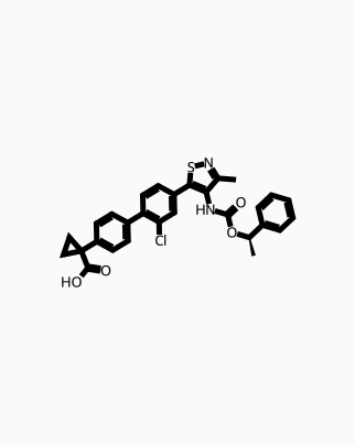 Cc1nsc(-c2ccc(-c3ccc(C4(C(=O)O)CC4)cc3)c(Cl)c2)c1NC(=O)O[C@H](C)c1ccccc1